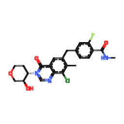 CNC(=O)c1ccc(Cc2cc3c(=O)n([C@H]4CCOC[C@@H]4O)cnc3c(Cl)c2C)cc1F